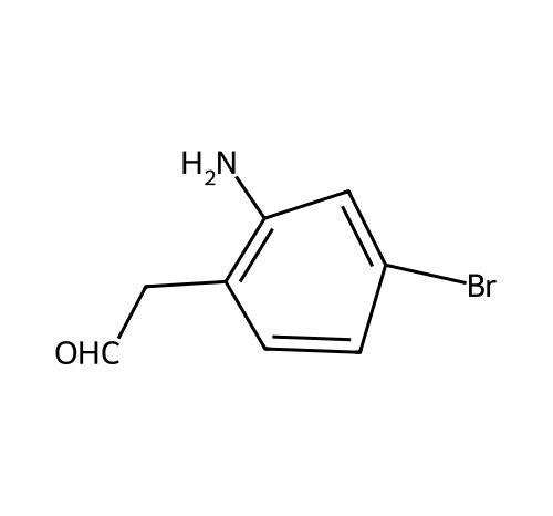 Nc1cc(Br)ccc1CC=O